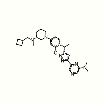 CC(n1cc(-c2cncc(N(C)C)n2)nn1)n1ccc(N2CCC[C@@H](NCC3CCC3)C2)cc1=O